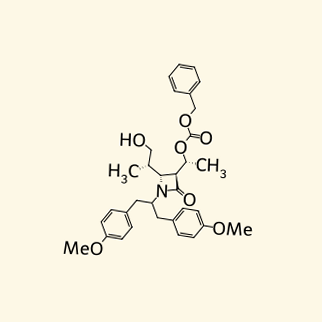 COc1ccc(CC(Cc2ccc(OC)cc2)N2C(=O)[C@H]([C@@H](C)OC(=O)OCc3ccccc3)[C@H]2[C@H](C)CO)cc1